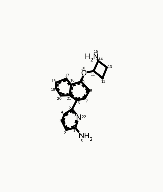 Nc1cccc(-c2ccc(OC3CCC3N)c3ccccc23)n1